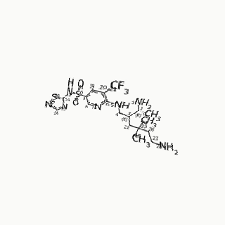 C[C@@H](N)[C@H](CNc1ncc(S(=O)(=O)Nc2ncns2)cc1C(F)(F)F)CC(C)(C)CCN